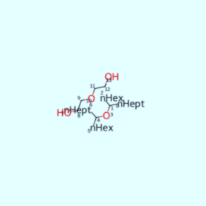 CCCCCCCC(CCCCCC)OC(CCCCCC)CCCCCCC.OCCOCCO